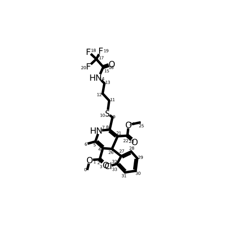 COC(=O)C1=C(C)NC(CSCCCNC(=O)C(F)(F)F)=C(C(=O)OC)C1c1ccccc1Cl